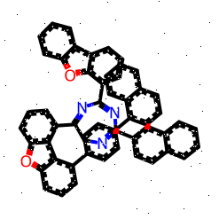 c1ccc2cc(C3=NCC(c4cccc5oc6cccc(-c7ccc(-c8cccc9ccccc89)cc7)c6c45)=NC(c4cccc5c4oc4ccccc45)=N3)ccc2c1